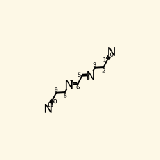 N#CCCN=CC=NCCC#N